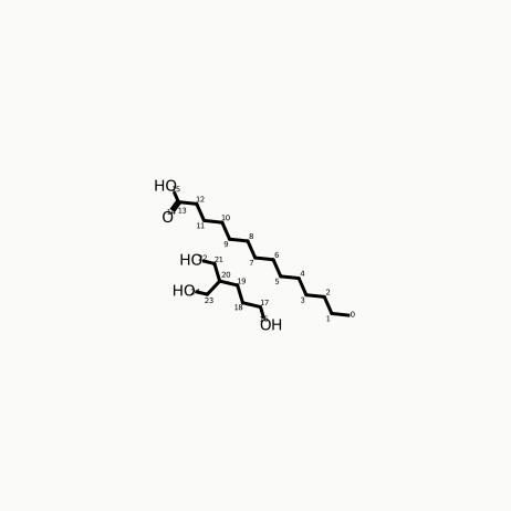 CCCCCCCCCCCCCC(=O)O.OCCCC(CO)CO